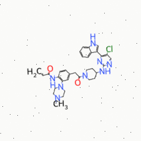 C=CC(=O)Nc1ccc(CC(=O)N2CCC(Nc3ncc(Cl)c(-c4c[nH]c5ccccc45)n3)CC2)cc1N1CCN(C)CC1